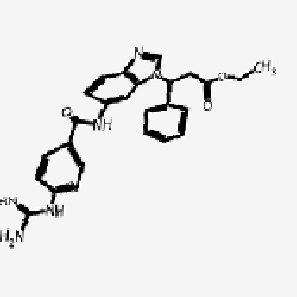 CCOC(=O)CC(c1ccccc1)n1cnc2ccc(NC(=O)c3ccc(NC(=N)N)cc3)cc21